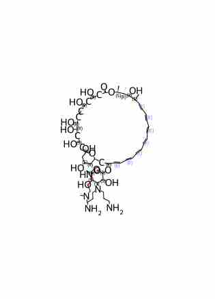 C[C@@H]1[C@H](O)[C@@H](C)/C=C/C=C/C=C/C=C/C=C/C=C/C=C/[C@H](O[C@@H]2O[C@H](C)[C@@H](O)[C@H](N(CCCN)CCCN)[C@@H]2O)CC2O[C@](O)(C[C@@H](O)C[C@@H](O)[C@H](O)CC[C@@H](O)C[C@@H](O)CC(=O)O[C@H]1C)C[C@H](O)[C@H]2C(=O)NCCCN(C)C